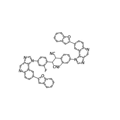 N#CC(c1ccc(-n2cnc3cnc4ccc(-c5cc6ccccc6o5)cc4c32)cc1F)C(C#N)c1ccc(-n2cnc3cnc4ccc(-c5cc6ccccc6o5)cc4c32)cc1F